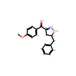 COc1ccc(C(=O)C2=NOC(Cc3ccccc3)C2)cc1